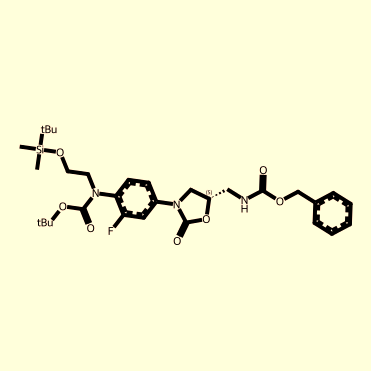 CC(C)(C)OC(=O)N(CCO[Si](C)(C)C(C)(C)C)c1ccc(N2C[C@H](CNC(=O)OCc3ccccc3)OC2=O)cc1F